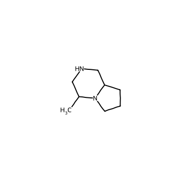 CC1CNCC2CCCN12